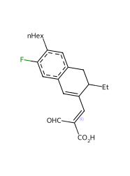 CCCCCCc1cc2c(cc1F)C=C(/C=C(\C=O)C(=O)O)C(CC)C2